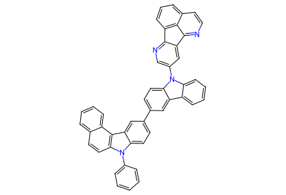 c1ccc(-n2c3ccc(-c4ccc5c(c4)c4ccccc4n5-c4cnc5c(c4)-c4nccc6cccc-5c46)cc3c3c4ccccc4ccc32)cc1